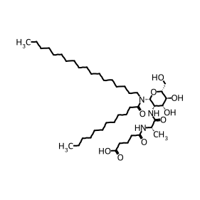 CCCCCCCCCCCCCCCCCCN(C(=O)CCCCCCCCCCC)[C@@H]1O[C@H](CO)[C@@H](O)[C@H](O)[C@@H]1NC(=O)[C@H](C)NC(=O)CCCC(=O)O